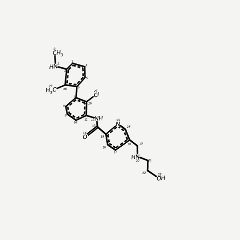 CNc1cccc(-c2cccc(NC(=O)c3ccc(CNCCO)cn3)c2Cl)c1C